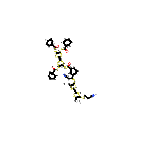 CC1=C(SCCC#N)S/C(=C2/SC(C)=C(SC(CC#N)c3cccc(C(=O)SC4=C(SC(=O)c5ccccc5)SC(=C5SC(SC(=O)c6ccccc6)=C(SC(=O)c6ccccc6)S5)S4)c3)S2)S1